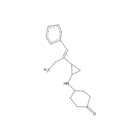 CC/C(=C\c1ccccc1)C1CC1NC1CCC(=O)CC1